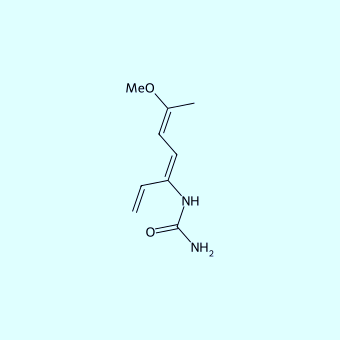 C=C/C(=C\C=C(/C)OC)NC(N)=O